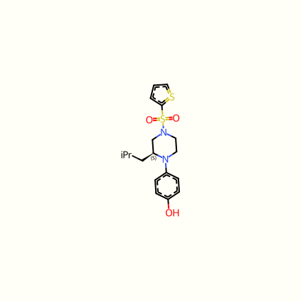 CC(C)C[C@H]1CN(S(=O)(=O)c2cccs2)CCN1c1ccc(O)cc1